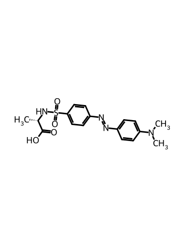 C[C@H](NS(=O)(=O)c1ccc(N=Nc2ccc(N(C)C)cc2)cc1)C(=O)O